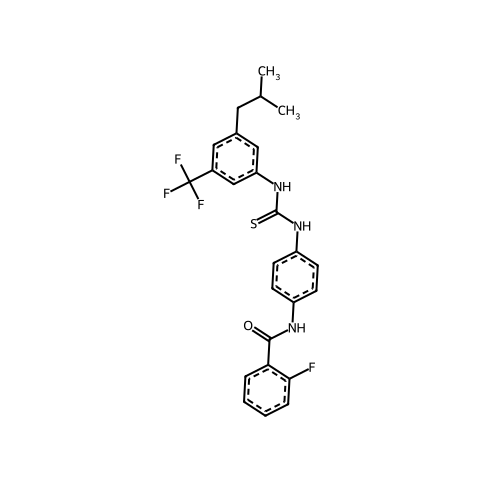 CC(C)Cc1cc(NC(=S)Nc2ccc(NC(=O)c3ccccc3F)cc2)cc(C(F)(F)F)c1